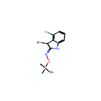 CC(C)C1C(=NO[Si](C)(C)C(C)(C)C)Nc2cccc(Cl)c21